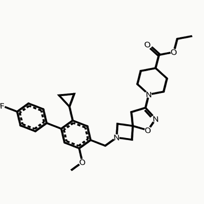 CCOC(=O)C1CCN(C2=NOC3(C2)CN(Cc2cc(C4CC4)c(-c4ccc(F)cc4)cc2OC)C3)CC1